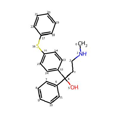 CNCCC(O)(c1ccccc1)c1ccc(Sc2ccccc2)cc1